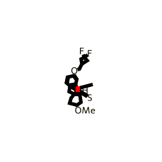 COC1CCC2(CC1)Cc1ccc(OCC3CC(F)(F)C3)cc1C21N=C(C)C(=S)N1